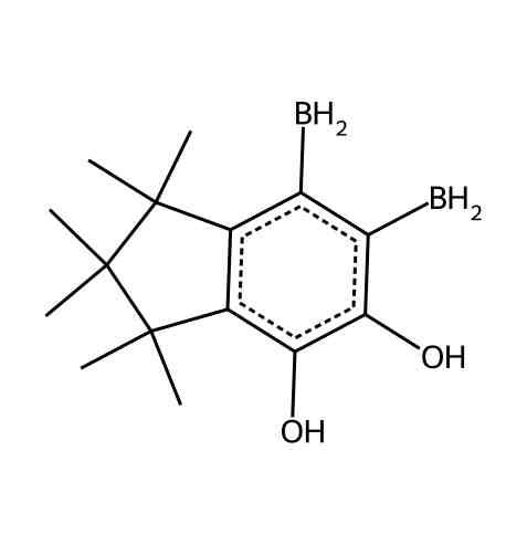 Bc1c(B)c2c(c(O)c1O)C(C)(C)C(C)(C)C2(C)C